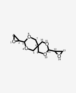 C1OC1C1OCC2(CO1)COC(C1CO1)OC2